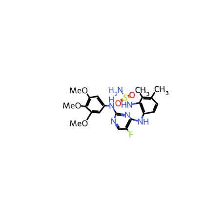 COc1cc(Nc2ncc(F)c(Nc3ccc(C)c(C)c3NS(N)(=O)=O)n2)cc(OC)c1OC